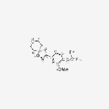 COc1cc(C2=NOC3(CCOCC3)C2)ccc1OC(F)F